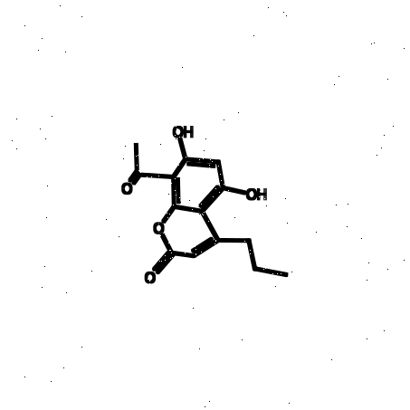 CCCc1cc(=O)oc2c(C(C)=O)c(O)cc(O)c12